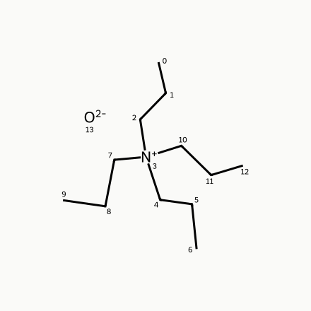 CCC[N+](CCC)(CCC)CCC.[O-2]